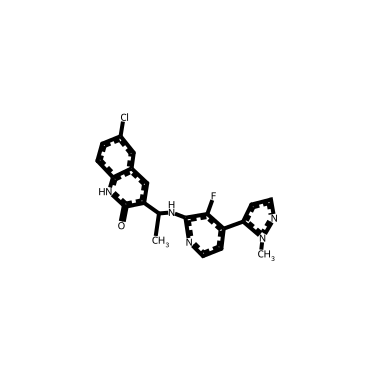 CC(Nc1nccc(-c2ccnn2C)c1F)c1cc2cc(Cl)ccc2[nH]c1=O